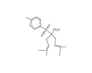 CC(C)=CCC(CC=C(C)C)(C(=O)O)S(=O)(=O)c1ccc(C)cc1